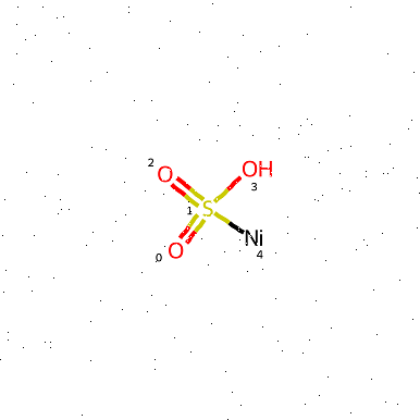 O=[S](=O)(O)[Ni]